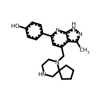 Cc1n[nH]c2nc(-c3ccc(O)cc3)cc(CN3CCNCC34CCCC4)c12